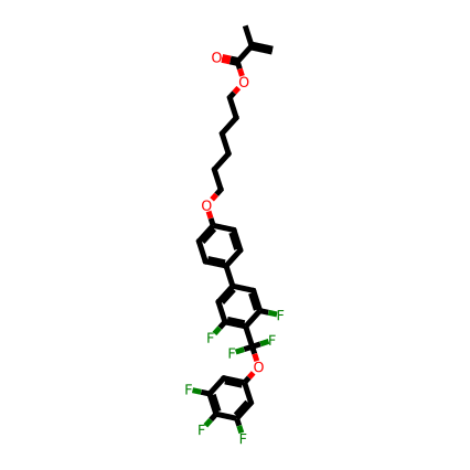 C=C(C)C(=O)OCCCCCCOc1ccc(-c2cc(F)c(C(F)(F)Oc3cc(F)c(F)c(F)c3)c(F)c2)cc1